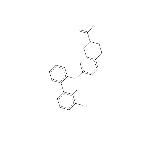 O=C(O)C1CCc2ccc(Oc3ccccc3-c3cccc(Cl)c3Cl)cc2C1